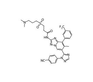 Cc1c(-c2ncnn2-c2ccc(C#N)cc2)cn2nc(NC(=O)CCS(=O)(=O)CCCN(C)C)nc2c1-c1cccc(C(F)(F)F)c1